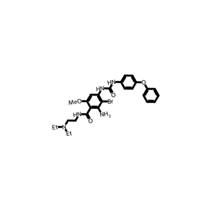 CCN(CC)CCNC(=O)c1c(OC)cc(NC(=O)Nc2ccc(Oc3ccccc3)cc2)c(Br)c1N